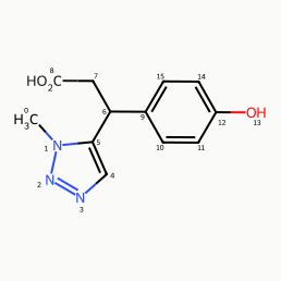 Cn1nncc1C(CC(=O)O)c1ccc(O)cc1